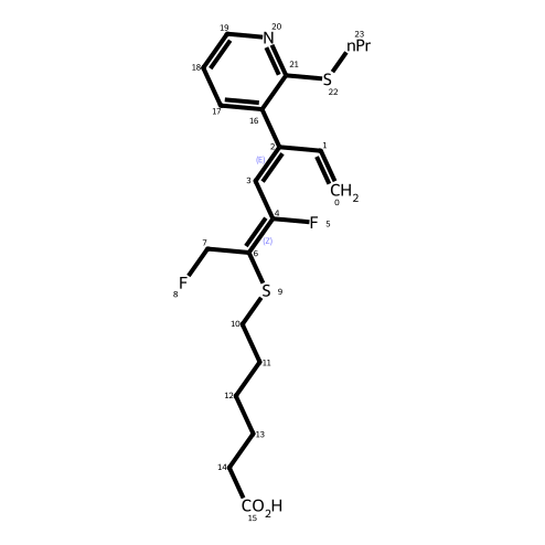 C=C/C(=C\C(F)=C(/CF)SCCCCCC(=O)O)c1cccnc1SCCC